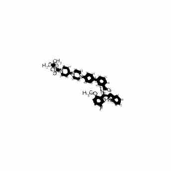 COc1ccc(F)cc1[C@@H](NC(=O)c1cccc(-c2ccc(N3CCN(C4CCN(C(=O)OC(C)(C)C)CC4)CC3)cc2)c1)c1cc2ccccc2[nH]1